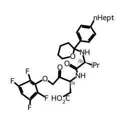 CCCCCCCc1ccc(C2(N[C@H](C(=O)N[C@@H](CC(=O)O)C(=O)COc3c(F)c(F)cc(F)c3F)C(C)C)CCCCO2)cc1